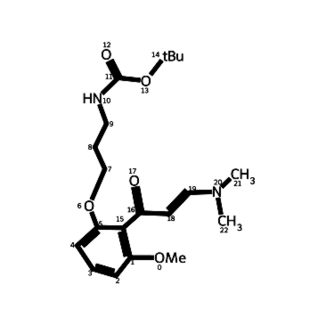 COc1cccc(OCCCNC(=O)OC(C)(C)C)c1C(=O)C=CN(C)C